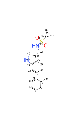 Cc1ccccc1-c1ccc2c(CNS(=O)(=O)C3CC3)c[nH]c2c1